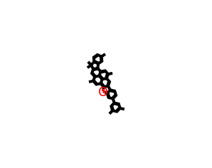 Cc1cc(C)cc(-c2ccc3c(c2)oc2c3cc3c(C)cc4c5c(cc6c(C)cc2c3c64)C(C)(C)c2ccc(C)cc2-5)c1